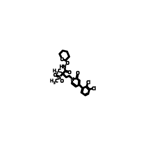 C[C@@](CCn1ccc(-c2cccc(Cl)c2Cl)cc1=O)(C(=O)NOC1CCCCO1)S(C)(=O)=O